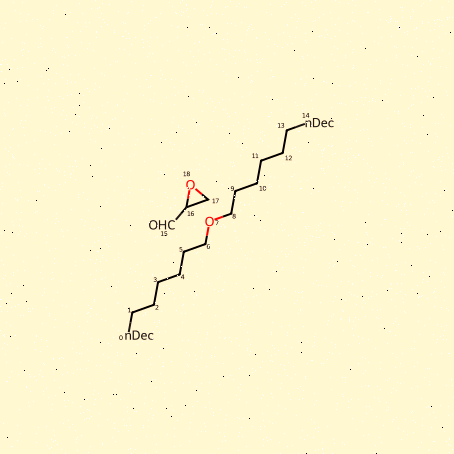 CCCCCCCCCCCCCCCCOCCCCCCCCCCCCCCCC.O=CC1CO1